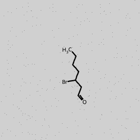 CCCCC(Br)CC=O